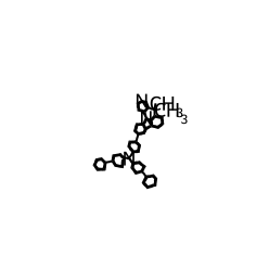 CC1(C)c2cnccc2-n2c3ccc(-c4ccc(N(c5ccc(-c6ccccc6)cc5)c5ccc(-c6ccccc6)cc5)cc4)cc3c3cccc1c32